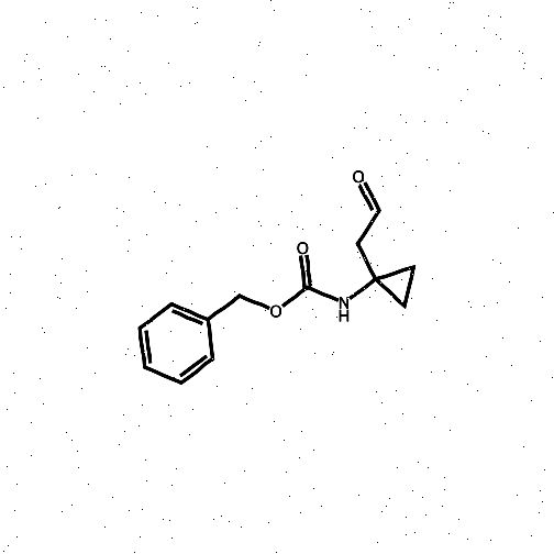 O=CCC1(NC(=O)OCc2ccccc2)CC1